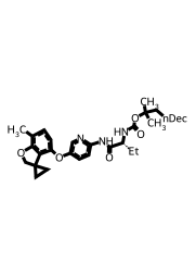 CCCCCCCCCCCC(C)(C)OC(=O)N[C@H](CC)C(=O)Nc1ccc(Oc2ccc(C)c3c2C2(CC2)CO3)cn1